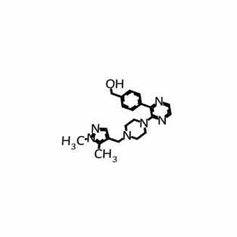 Cc1c(CN2CCN(c3nccnc3-c3ccc(CO)cc3)CC2)cnn1C